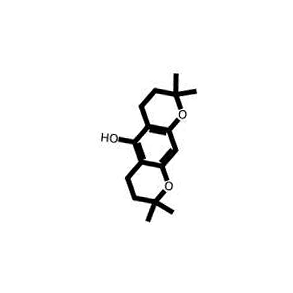 CC1(C)CCc2c(cc3c(c2O)CCC(C)(C)O3)O1